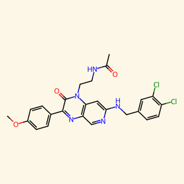 COc1ccc(-c2nc3cnc(NCc4ccc(Cl)c(Cl)c4)cc3n(CCNC(C)=O)c2=O)cc1